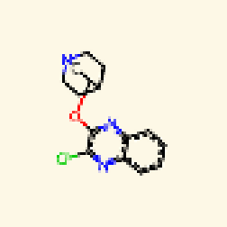 Clc1nc2ccccc2nc1OC1CN2CCC1CC2